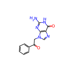 Nc1nc2c(ncn2CC(=O)c2ccccc2)c(=O)[nH]1